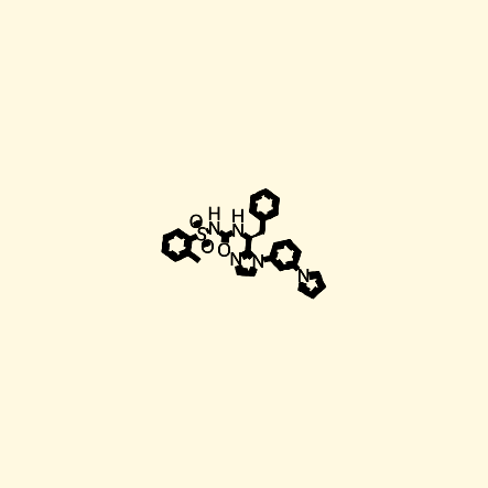 Cc1ccccc1S(=O)(=O)NC(=O)N[C@@H](Cc1ccccc1)c1nccn1-c1cccc(-n2cccc2)c1